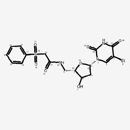 CCc1cn([C@@H]2CC(O)[C@H](CNC(=O)CS(=O)(=O)c3ccccc3)O2)c(=O)[nH]c1=O